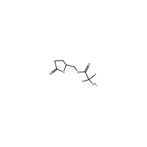 CC(F)(F)C(=O)OCC1CCC(=O)O1